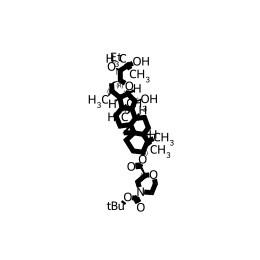 CCO[C@@H]([C@H]1C[C@@H](C)[C@H]2[C@H](O1)[C@H](O)[C@@]1(C)[C@@H]3CC[C@H]4C(C)(C)[C@@H](OC(=O)[C@@H]5CN(C(=O)OC(C)(C)C)CCO5)CCC45C[C@@]35CC[C@]21C)C(C)(C)O